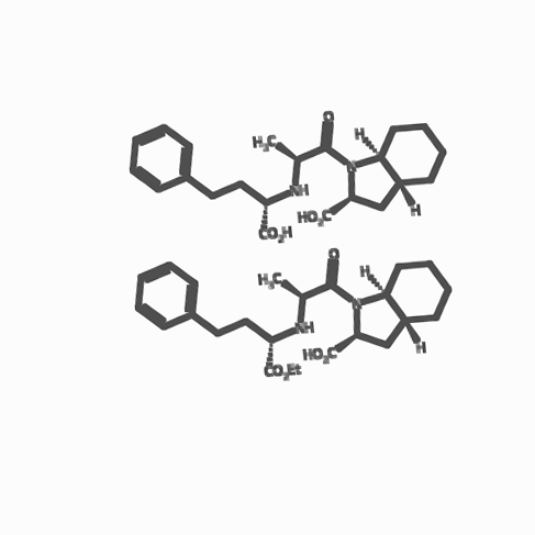 CCOC(=O)[C@H](CCc1ccccc1)N[C@@H](C)C(=O)N1[C@H](C(=O)O)C[C@H]2CCCC[C@@H]21.C[C@H](N[C@@H](CCc1ccccc1)C(=O)O)C(=O)N1[C@H](C(=O)O)C[C@H]2CCCC[C@@H]21